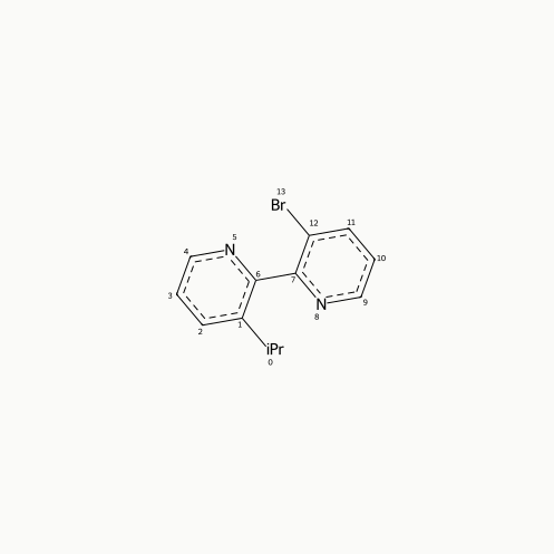 CC(C)c1cccnc1-c1ncccc1Br